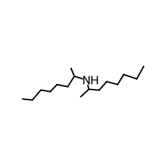 CCCCCCC(C)NC(C)CCCCCC